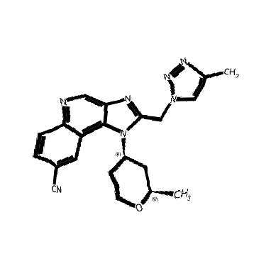 Cc1cn(Cc2nc3cnc4ccc(C#N)cc4c3n2[C@@H]2CCO[C@H](C)C2)nn1